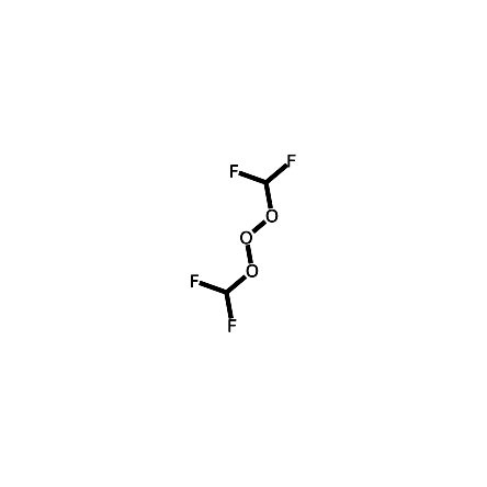 FC(F)OOOC(F)F